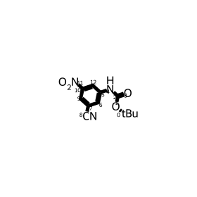 CC(C)(C)OC(=O)Nc1cc(C#N)cc([N+](=O)[O-])c1